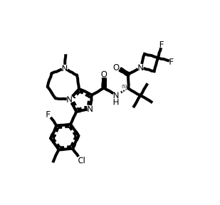 Cc1cc(F)c(-c2nc(C(=O)N[C@H](C(=O)N3CC(F)(F)C3)C(C)(C)C)c3n2CCCN(C)C3)cc1Cl